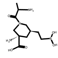 CC(N)C(=O)N1C[C@@H](CCB(O)O)C[C@@](N)(C(=O)O)C1